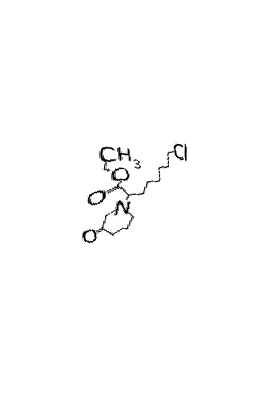 CCOC(=O)C(CCCCCCCl)N1CCCC(=O)C1